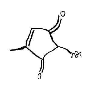 CCCC1C(=O)C=C(C)C1=O